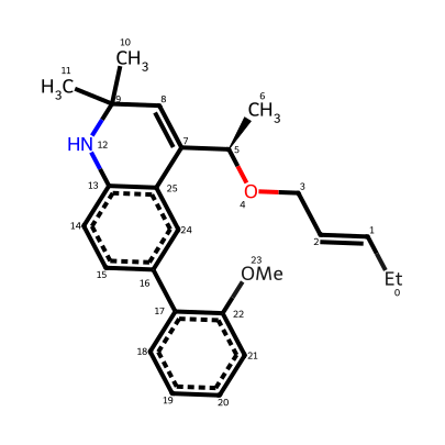 CCC=CCO[C@H](C)C1=CC(C)(C)Nc2ccc(-c3ccccc3OC)cc21